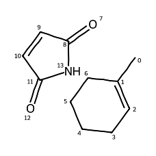 CC1=CCCCC1.O=C1C=CC(=O)N1